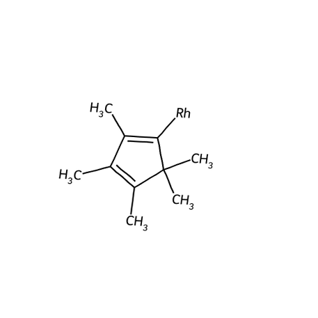 CC1=C(C)C(C)(C)[C]([Rh])=C1C